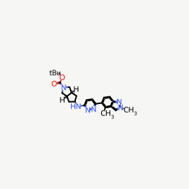 Cc1c(-c2ccc(NC3C[C@@H]4CN(C(=O)OC(C)(C)C)C[C@@H]4C3)nn2)ccc2nn(C)cc12